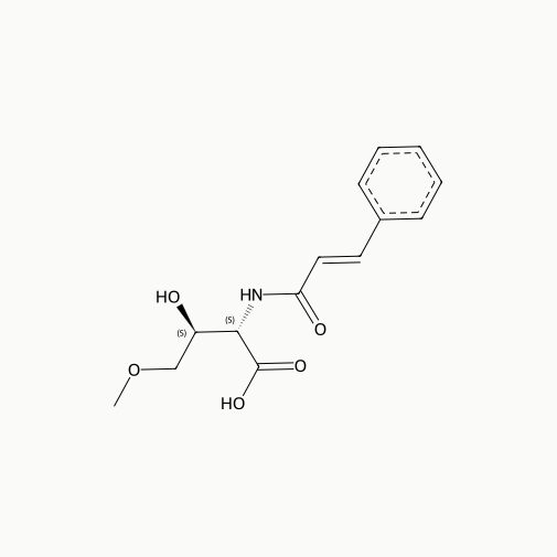 COC[C@@H](O)[C@H](NC(=O)C=Cc1ccccc1)C(=O)O